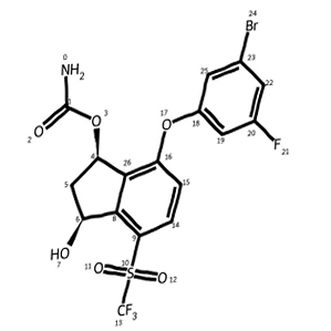 NC(=O)O[C@@H]1C[C@H](O)c2c(S(=O)(=O)C(F)(F)F)ccc(Oc3cc(F)cc(Br)c3)c21